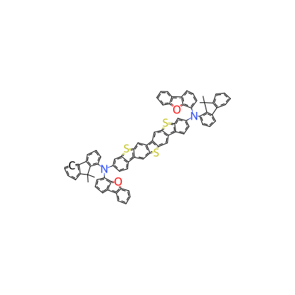 CC1(C)c2ccccc2-c2cccc(N(c3ccc4c(c3)sc3cc5c(cc34)sc3cc4c(cc35)sc3cc(N(c5cccc6c5C(C)(C)c5ccccc5-6)c5cccc6c5oc5ccccc56)ccc34)c3cccc4c3oc3ccccc34)c21